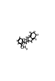 Cc1ccccc1NC1CC2=CCCC=C2C1